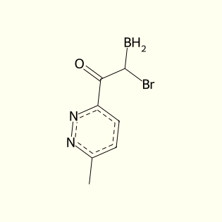 BC(Br)C(=O)c1ccc(C)nn1